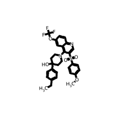 CCc1ccc(C2(O)CCN(c3c(S(=O)(=O)c4ccc(OC)cc4)cnc4ccc(OC(F)(F)F)cc34)CC2)cc1